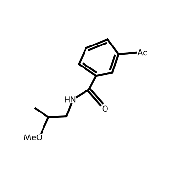 COC(C)CNC(=O)c1cccc(C(C)=O)c1